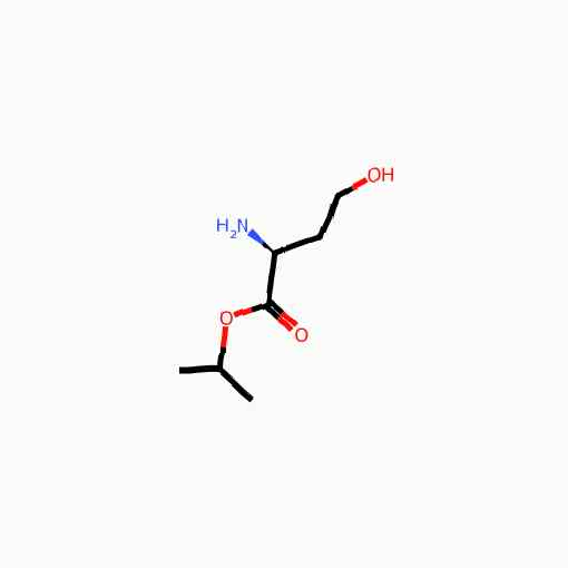 CC(C)OC(=O)[C@@H](N)CCO